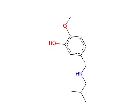 COc1ccc(CNCC(C)C)cc1O